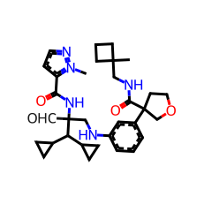 Cn1nccc1C(=O)NC(C=O)(CNc1cccc(C2(C(=O)NCC3(C)CCC3)CCOC2)c1)C(C1CC1)C1CC1